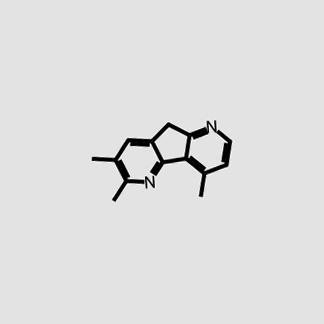 Cc1cc2c(nc1C)-c1c(C)ccnc1C2